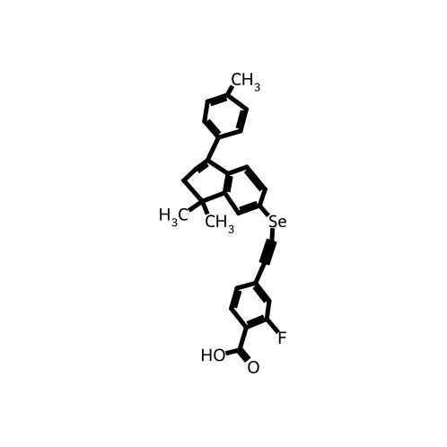 Cc1ccc(C2=CCC(C)(C)c3cc([Se]C#Cc4ccc(C(=O)O)c(F)c4)ccc32)cc1